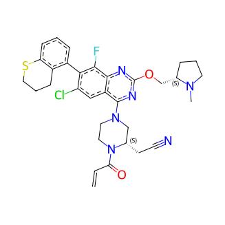 C=CC(=O)N1CCN(c2nc(OC[C@@H]3CCCN3C)nc3c(F)c(-c4cccc5c4CCCS5)c(Cl)cc23)C[C@@H]1CC#N